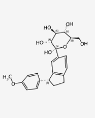 COc1ccc([C@H]2CCc3ccc([C@]4(O)O[C@H](CO)[C@@H](O)[C@H](O)[C@H]4O)cc32)cc1